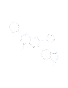 O=c1cc(-c2ccccc2)[nH]c2nc(-c3ccco3)c(-c3ccc4[nH]cnc4c3)cc12